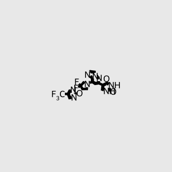 O=c1[nH]cc(-c2cc(N3C[C@H](Oc4ncc(C(F)(F)F)cn4)C(F)(F)C3)c3nccn3n2)c(=O)[nH]1